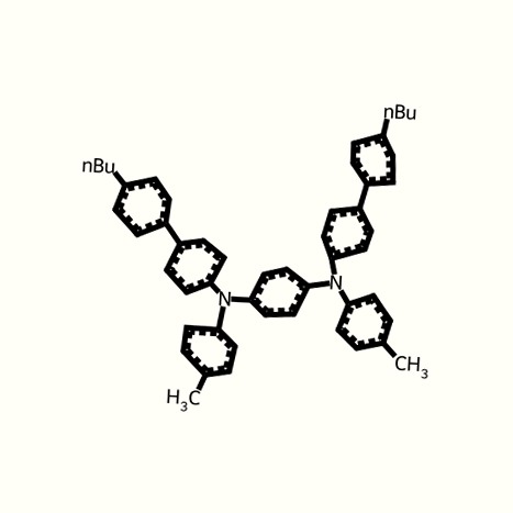 CCCCc1ccc(-c2ccc(N(c3ccc(C)cc3)c3ccc(N(c4ccc(C)cc4)c4ccc(-c5ccc(CCCC)cc5)cc4)cc3)cc2)cc1